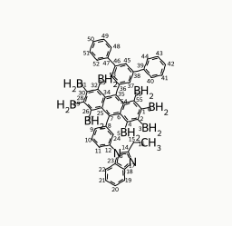 Bc1c(B)c(B)c2c(-c3cccc(-n4c(CC)nc5ccccc54)c3)c3c(B)c(B)c(B)c(B)c3c(-c3cc(-c4ccccc4)cc(-c4ccccc4)c3)c2c1B